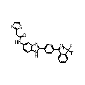 O=C(Cc1nccs1)Nc1ccc2[nH]c(-c3ccc(C(=O)c4ccccc4C(F)(F)F)cc3)nc2c1